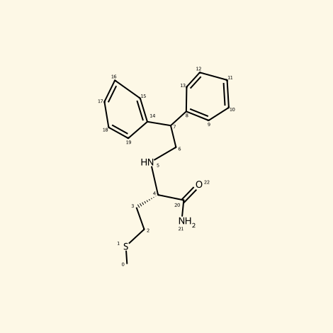 CSCC[C@H](NCC(c1ccccc1)c1ccccc1)C(N)=O